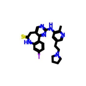 Cc1ncc(CCN2CCCC2)cc1Nc1ncc2c(n1)-c1ccc(I)cc1NC(=S)C2